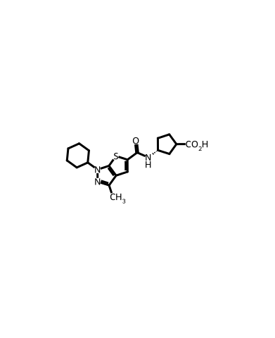 Cc1nn(C2CCCCC2)c2sc(C(=O)N[C@@H]3CCC(C(=O)O)C3)cc12